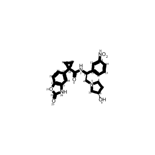 O=C(N[C@H](CN1CC[C@H](O)C1)c1cccc([N+](=O)[O-])c1)C1(c2ccc3oc(=O)[nH]c3c2)CC1